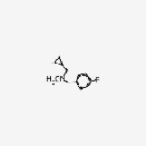 CN(Cc1ccc(F)cc1)CC1[CH]C1